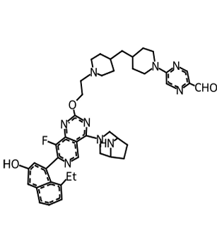 CCc1cccc2cc(O)cc(-c3ncc4c(N5CC6CCC(C5)N6)nc(OCCN5CCC(CC6CCN(c7cnc(C=O)cn7)CC6)CC5)nc4c3F)c12